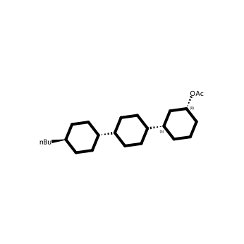 CCCC[C@H]1CC[C@H](C2CCC([C@H]3CCC[C@@H](OC(C)=O)C3)CC2)CC1